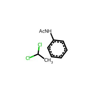 CC(=O)Nc1ccccc1.CC(Cl)Cl